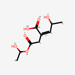 CC(O)/C=C(/CC(=O)OC(C)O)C(=O)O